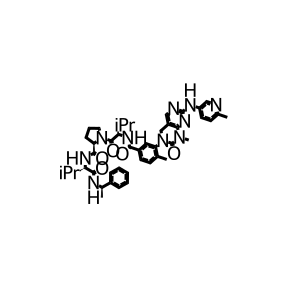 Cc1ccc(Nc2ncc3c(n2)N(C)C(=O)N(c2cc(C(=O)N[C@H](C(=O)N4CCC[C@@H]4C(=O)N[C@H](C(=O)N[C@H](C)c4ccccc4)C(C)C)C(C)C)ccc2C)C3)cn1